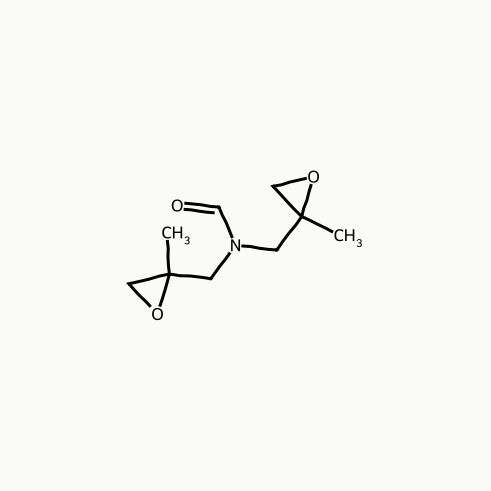 CC1(CN(C=O)CC2(C)CO2)CO1